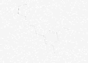 CCc1cc(CCC(O)C2CCCC2)cc(CC)n1